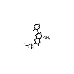 Cc1ccncc1-c1cc2cc(NCC(F)F)ncc2c(N)n1